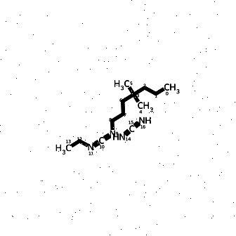 CCCC(C)(C)CCCN=C=NCC.N=C=N